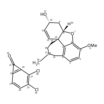 COc1ccc2c3c1O[C@H]1C[C@@H](O)C=C[C@@]31CCN(C)C2.O=c1c2ccc(Cl)c(Cl)c12